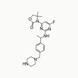 CC(Nc1nc(F)cc(N2C(=O)OCC2(C)C)n1)c1ccc(CN2CCNCC2)cc1